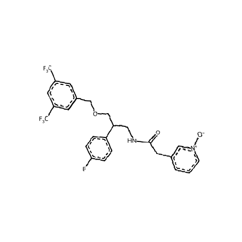 O=C(Cc1ccc[n+]([O-])c1)NCC(COCc1cc(C(F)(F)F)cc(C(F)(F)F)c1)c1ccc(F)cc1